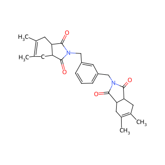 CC1=C(C)CC2C(=O)N(Cc3cccc(CN4C(=O)C5CC(C)=C(C)CC5C4=O)c3)C(=O)C2C1